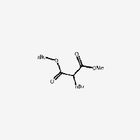 CCCCOC(=O)C(CCCC)C(=O)OC